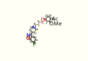 COc1cc(OCCCCN2CCC(c3noc4cc(F)ccc34)CC2)ccc1C(C)=O